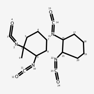 CC1(N=C=O)CCCCC1N=C=O.O=C=NC1CCCCC1N=C=O